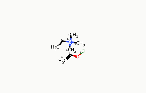 C=COCl.CC[N+](C)(C)C